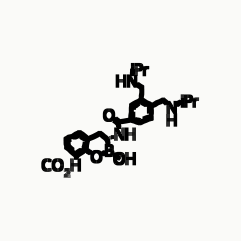 CC(C)NCc1ccc(C(=O)N[C@H]2Cc3cccc(C(=O)O)c3OB2O)cc1CNC(C)C